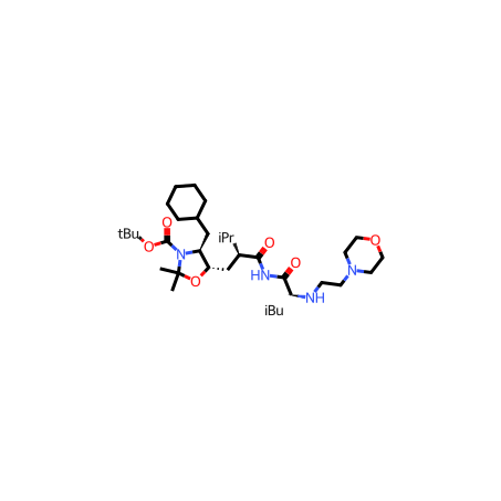 CC[C@H](C)[C@H](NCCN1CCOCC1)C(=O)NC(=O)[C@@H](C[C@@H]1OC(C)(C)N(C(=O)OC(C)(C)C)[C@H]1CC1CCCCC1)C(C)C